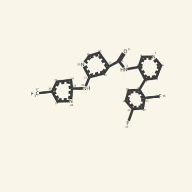 O=C(Nc1cnccc1-c1ccc(F)cc1F)c1ccnc(Nc2ccc(C(F)(F)F)cn2)c1